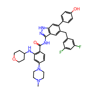 CN1CCN(c2ccc(C(=O)Nc3n[nH]c4cc(-c5ccc(O)cc5)c(Cc5cc(F)cc(F)c5)cc34)c(NC3CCOCC3)c2)CC1